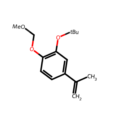 C=C(C)c1ccc(OCOC)c(OC(C)(C)C)c1